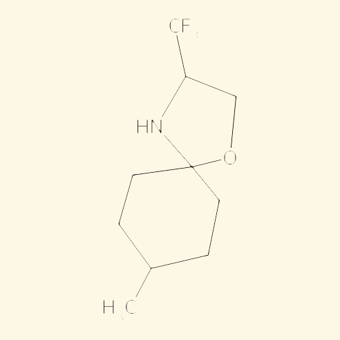 CC1CCC2(CC1)NC(C(F)(F)F)CO2